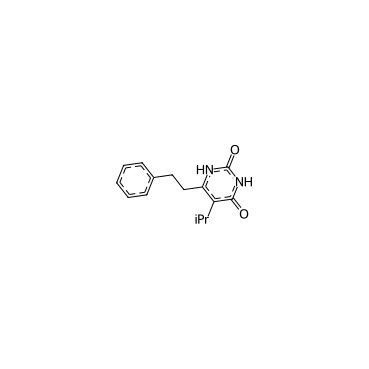 CC(C)c1c(CCc2ccccc2)[nH]c(=O)[nH]c1=O